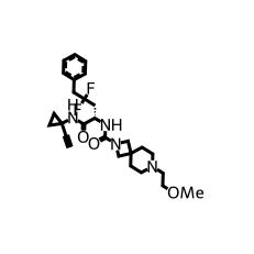 C#CC1(NC(=O)[C@H](CC(F)(F)Cc2ccccc2)NC(=O)N2CC3(CCN(CCOC)CC3)C2)CC1